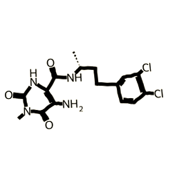 C[C@H](CCc1ccc(Cl)c(Cl)c1)NC(=O)c1[nH]c(=O)n(C)c(=O)c1N